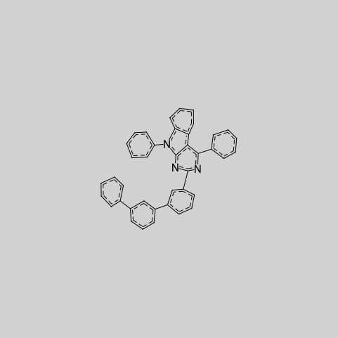 c1ccc(-c2cccc(-c3cccc(-c4nc(-c5ccccc5)c5c6ccccc6n(-c6ccccc6)c5n4)c3)c2)cc1